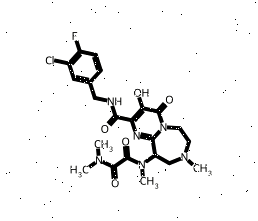 CN1CCn2c(nc(C(=O)NCc3ccc(F)c(Cl)c3)c(O)c2=O)C(N(C)C(=O)C(=O)N(C)C)C1